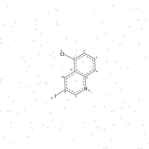 Clc1cccc2ncc(I)cc12